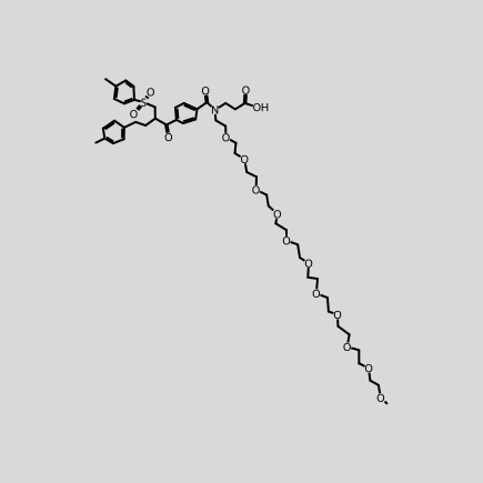 COCCOCCOCCOCCOCCOCCOCCOCCOCCOCCOCCN(CCC(=O)O)C(=O)c1ccc(C(=O)C(CCc2ccc(C)cc2)CS(=O)(=O)c2ccc(C)cc2)cc1